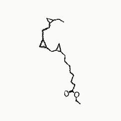 CCOC(=O)CCCCCCCC1CC1CC1CC1CCC1CC1CC